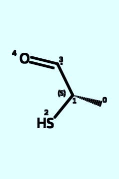 C[C@H](S)[C]=O